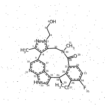 Cc1nn(CCO)c2c1-c1cnc3[nH]cc(c3c1)[C@H](C)c1c(ccc(F)c1Cl)C(=O)N(C)C2